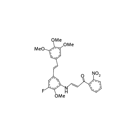 COc1cc(C=Cc2cc(F)c(OC)c(NC=CC(=O)c3ccccc3[N+](=O)[O-])c2)cc(OC)c1OC